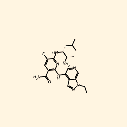 CCn1ncc2c(Nc3nc(N[C@H](CC(C)C)[C@H](C)N)c(F)cc3C(N)=O)cncc21